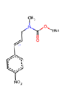 CN(C/C=C/c1ccc([N+](=O)[O-])cc1)C(=O)OC(C)(C)C